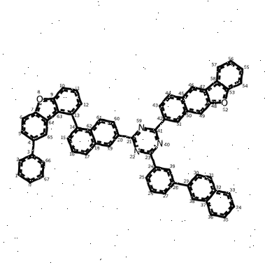 c1ccc(-c2ccc3oc4cccc(-c5cccc6cc(-c7nc(-c8cccc(-c9ccc%10ccccc%10c9)c8)nc(-c8ccc9cc%10c(cc9c8)oc8ccccc8%10)n7)ccc56)c4c3c2)cc1